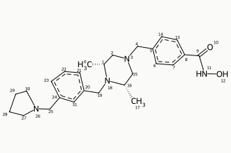 C[C@@H]1CN(Cc2ccc(C(=O)NO)cc2)C[C@H](C)N1Cc1cccc(CN2CCCC2)c1